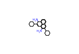 Nc1c(C2CCCCC2)cc2cccc3c2c1C=C(C1CCCCC1)C3N